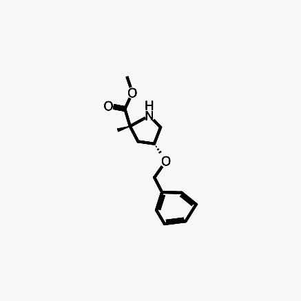 COC(=O)[C@@]1(C)C[C@@H](OCc2ccccc2)CN1